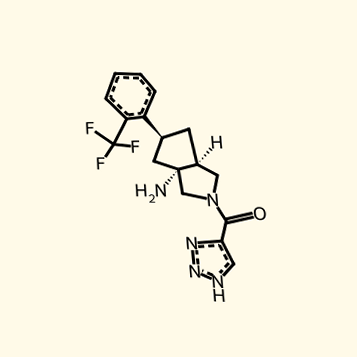 N[C@]12C[C@@H](c3ccccc3C(F)(F)F)C[C@H]1CN(C(=O)c1c[nH]nn1)C2